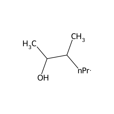 CC[CH]C(C)C(C)O